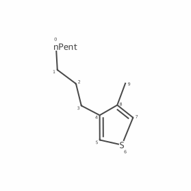 CCCCCCCCc1cscc1C